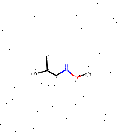 CCCONCC(C)CCC